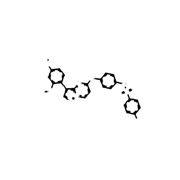 COc1ccc(-c2cnn3ccc(Nc4ccc(NS(=O)(=O)c5ccc(C)cc5)cc4)nc23)c(OC)c1